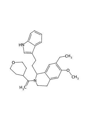 C=C(C1CCOCC1)N1CCc2cc(OC)c(CC)cc2C1CCc1c[nH]c2ccccc12